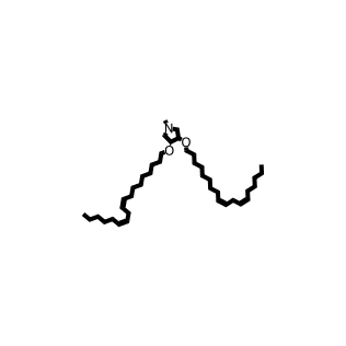 CCCCC/C=C\C/C=C\CCCCCCCCOC1CN(C)C[C@H]1OCCCCCCCC/C=C\C/C=C\CCCCC